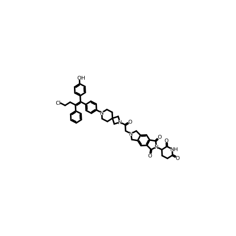 O=C1CCC(N2C(=O)c3cc4c(cc3C2=O)CN(CC(=O)N2CC3(CCN(c5ccc(C(=C(CCCl)c6ccccc6)c6ccc(O)cc6)cc5)CC3)C2)C4)C(=O)N1